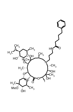 CO[C@]1(C)C[C@H](O[C@H]2[C@H](C)[C@@H](O[C@@H]3O[C@H](C)C[C@H](N(C)C)[C@H]3O)[C@](C)(O)C[C@@H](C)CN(CCCNC(=O)CCCCc3ccccc3)[C@H](C)[C@@H](O)[C@](C)(O)[C@@H](I)OC(=O)[C@@H]2C)O[C@@H](C)[C@@H]1O